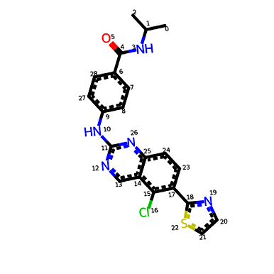 CC(C)NC(=O)c1ccc(Nc2ncc3c(Cl)c(-c4nccs4)ccc3n2)cc1